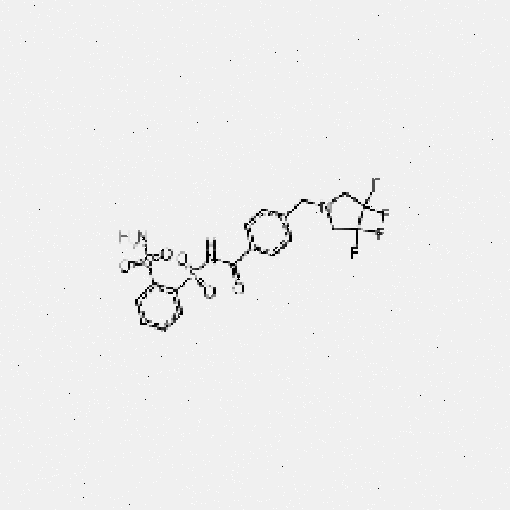 NS(=O)(=O)c1ccccc1S(=O)(=O)NC(=O)c1ccc(CN2CC(F)(F)C(F)(F)C2)cc1